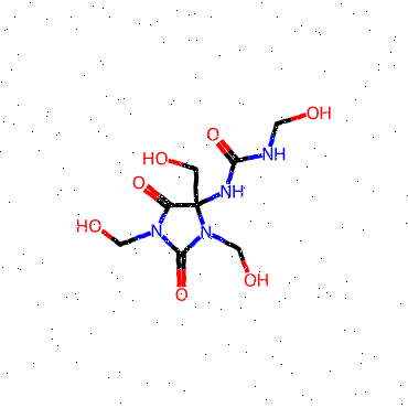 O=C(NCO)NC1(CO)C(=O)N(CO)C(=O)N1CO